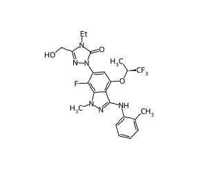 CCn1c(CO)nn(-c2cc(O[C@@H](C)C(F)(F)F)c3c(Nc4ccccc4C)nn(C)c3c2F)c1=O